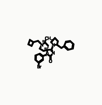 C[C@H]1C[C@]2(CCN1CC1CCC1)C(N1CCCC1Cc1ccccc1)=NC(=O)N2c1cccc(Br)c1